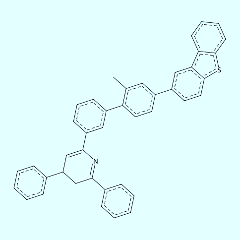 Cc1cc(-c2ccc3sc4ccccc4c3c2)ccc1-c1cccc(C2=CC(c3ccccc3)CC(c3ccccc3)=N2)c1